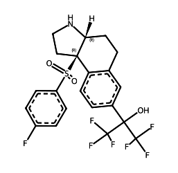 O=S(=O)(c1ccc(F)cc1)[C@@]12CCN[C@@H]1CCc1cc(C(O)(C(F)(F)F)C(F)(F)F)ccc12